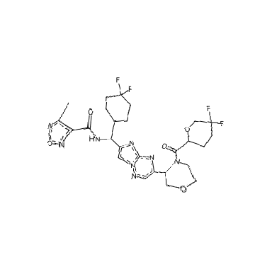 Cc1nonc1C(=O)NC(c1cn2ncc(C3COCCN3C(=O)C3CCC(F)(F)CO3)nc2n1)C1CCC(F)(F)CC1